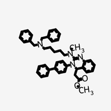 COC(=O)CC1c2ccccc2N=C(N(C)CCCCCN(Cc2ccccc2)Cc2ccccc2)N1c1ccc(-c2ccccc2)cc1